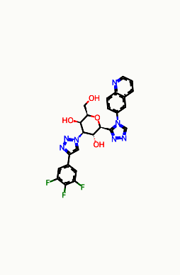 OC[C@H]1O[C@@H](c2nncn2-c2ccc3ncccc3c2)[C@H](O)[C@@H](n2cc(-c3cc(F)c(F)c(F)c3)nn2)[C@H]1O